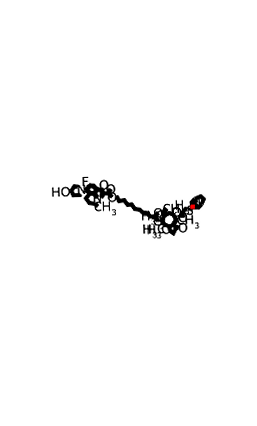 C=C[C@@]1(C)C[C@H](OC(=O)CSC2CC3CCC(C2)N3C)/C(C)=C2/C(=O)CCC2(C)[C@H](C)[C@H]1OC(=O)CCCCCCCCCCOC(=O)c1cn2c3c(c(N4CCC(O)CC4)c(F)cc3c1=O)CCC2C